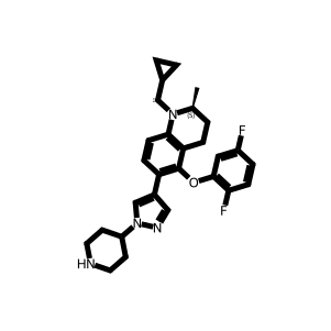 C[C@H]1CCc2c(ccc(-c3cnn(C4CCNCC4)c3)c2Oc2cc(F)ccc2F)N1[C]C1CC1